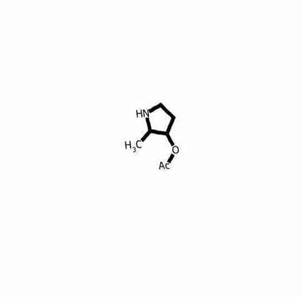 CC(=O)OC1CCNC1C